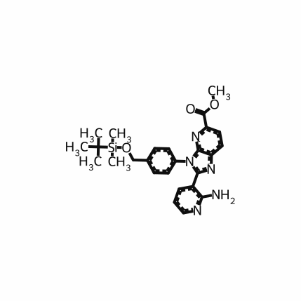 COC(=O)c1ccc2nc(-c3cccnc3N)n(-c3ccc(CO[Si](C)(C)C(C)(C)C)cc3)c2n1